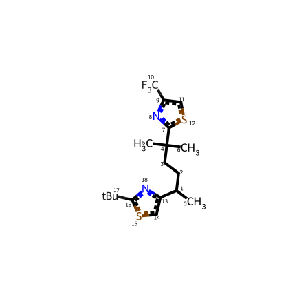 CC(CCC(C)(C)c1nc(C(F)(F)F)cs1)c1csc(C(C)(C)C)n1